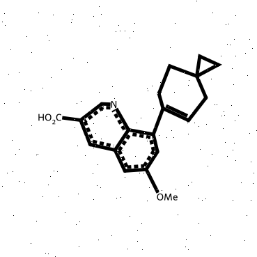 COc1cc(C2=CCC3(CC2)CC3)c2ncc(C(=O)O)cc2c1